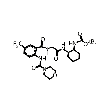 CC(C)(C)OC(=O)NC1CCCCC1NC(=O)CNC(=O)c1cc(C(F)(F)F)ccc1NC(=O)N1CCOCC1